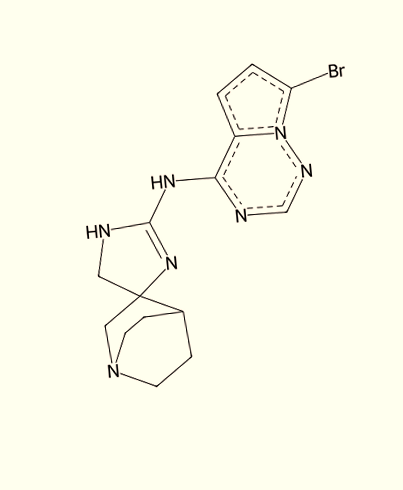 Brc1ccc2c(NC3=NC4(CN3)CN3CCC4CC3)ncnn12